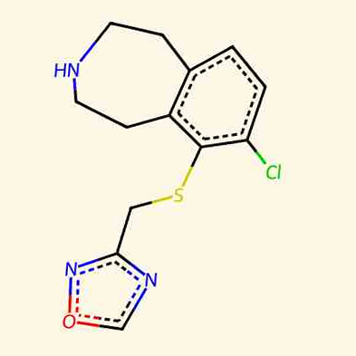 Clc1ccc2c(c1SCc1ncon1)CCNCC2